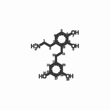 NCCc1ccc(O)c(O)c1CCc1cc(O)cc(O)c1